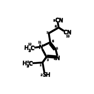 CC(S)c1ncc(CC(C#N)C#N)n1C